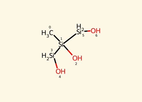 C[Si](O)([SiH2]O)[SiH2]O